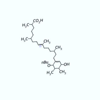 CCCCOC1C(CCC(C)CCC/C(C)=C/CCC(C)CCCC(C)C(=O)O)=CC(O)C(C)C1C